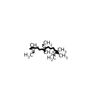 C=C[Si]12CC1(C)C2CCC1C2(C)C(CCCC3C4(C)C(C)[Si]34C=C)[Si]12C=C